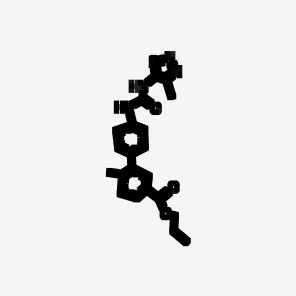 CCCOC(=O)c1ccc(C)c(-c2ccc(NC(=O)Nc3snnc3C)cc2)c1